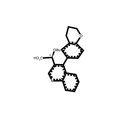 CC(C)CO[C@H](C(=O)O)c1cnc2ccccc2c1-c1ccc2c(c1)CCCO2